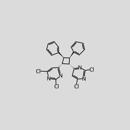 Clc1cc([C@@H]2[C@@H](c3ccccc3)[C@@H](c3ccccc3)[C@@H]2c2cc(Cl)nc(Cl)n2)nc(Cl)n1